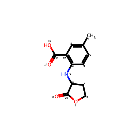 Cc1ccc(NC2CCOC2=O)c(C(=O)O)c1